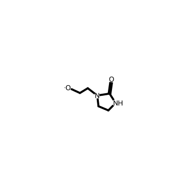 [O]CCN1CCNC1=O